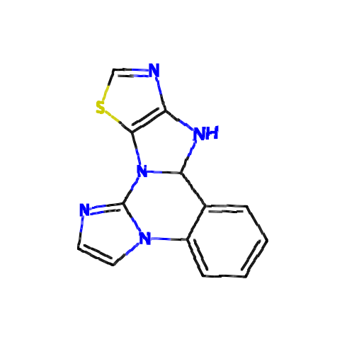 c1ccc2c(c1)C1Nc3ncsc3N1c1nccn1-2